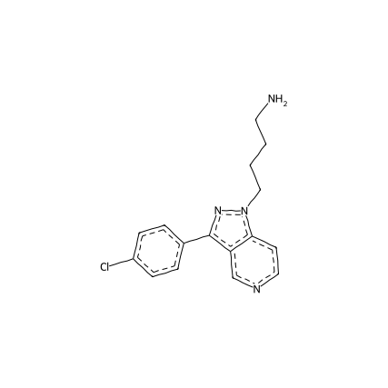 NCCCCn1nc(-c2ccc(Cl)cc2)c2cnccc21